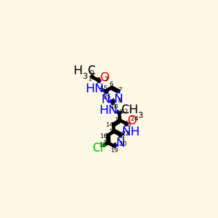 CCC(=O)Nc1ccnc(N[C@@H](C)c2cc3cc(Cl)cnc3[nH]c2=O)n1